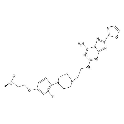 C[S@@+]([O-])CCOc1ccc(N2CCN(CCNc3nc(N)n4nc(-c5ccco5)nc4n3)CC2)c(F)c1